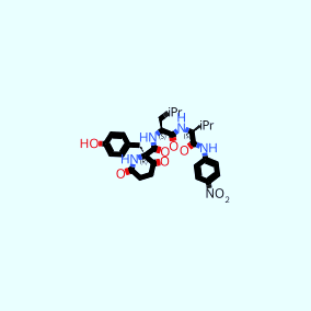 CC(C)C[C@H](NC(=O)[C@]1(Cc2ccc(O)cc2)NC(=O)CCC1=O)C(=O)N[C@H](C(=O)Nc1ccc([N+](=O)[O-])cc1)C(C)C